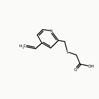 C=Cc1ccnc(CSCC(=O)O)c1